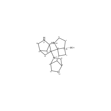 C1C[C@H]2CCC2(C2(N3CC4CC3CO4)CC3CNC2C3)N1